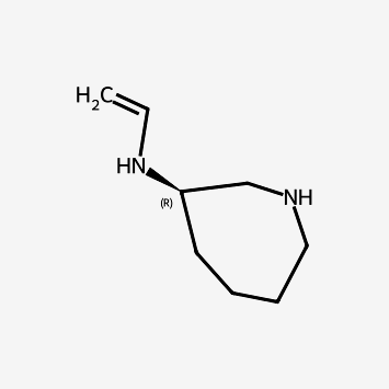 C=CN[C@@H]1CCCCNC1